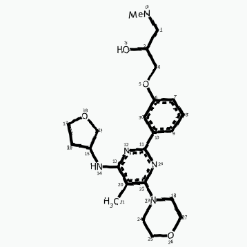 CNCC(O)COc1cccc(-c2nc(NC3CCOC3)c(C)c(N3CCOCC3)n2)c1